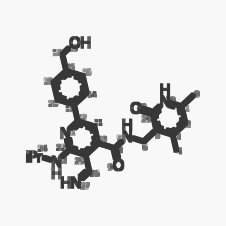 Cc1cc(C)c(CNC(=O)c2cc(-c3ccc(CO)cc3)nc(NC(C)C)c2C=N)c(=O)[nH]1